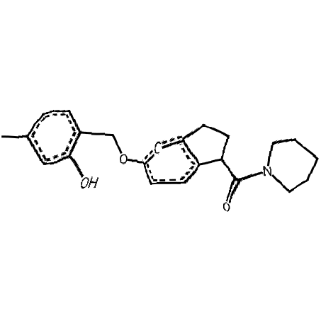 Cc1ccc(COc2ccc3c(c2)CCC3C(=O)N2CCCCC2)c(O)c1